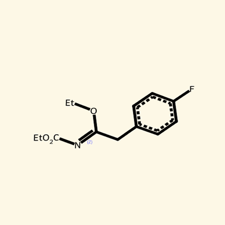 CCOC(=O)/N=C(/Cc1ccc(F)cc1)OCC